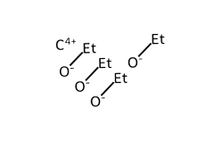 CC[O-].CC[O-].CC[O-].CC[O-].[C+4]